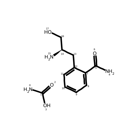 NC(=O)O.NC(=O)c1ccccc1C[C@@H](N)CO